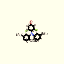 COc1ccc(C(C)(C)C)cc1N(c1cc(C(C)(C)C)ccc1OC)c1c(F)cc(Br)cc1F